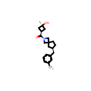 C[C@]1(O)C[C@@H](C(=O)N2CC3(CC[C@@H](Cc4cccc(C(F)(F)F)c4)C3)C2)C1